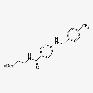 CCCCCCCCCCCCNC(=O)c1ccc(NCc2ccc(C(F)(F)F)cc2)cc1